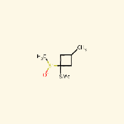 CSC1([S+](C)[O-])CC(C)C1